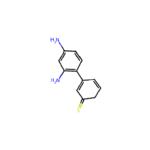 Nc1ccc(C2=CC(=S)CC=C2)c(N)c1